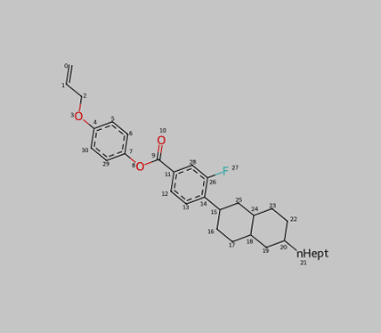 C=CCOc1ccc(OC(=O)c2ccc(C3CCC4CC(CCCCCCC)CCC4C3)c(F)c2)cc1